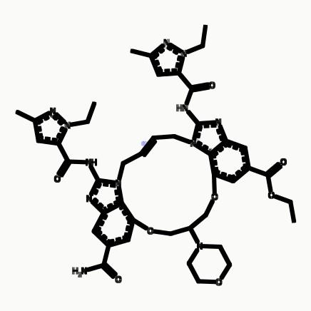 CCOC(=O)c1cc2c3c(c1)nc(NC(=O)c1cc(C)nn1CC)n3C/C=C/Cn1c(NC(=O)c3cc(C)nn3CC)nc3cc(C(N)=O)cc(c31)OCC(N1CCOCC1)CO2